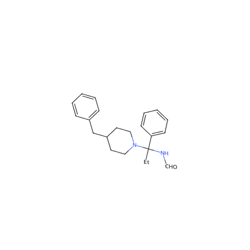 [CH2]CC(NC=O)(c1ccccc1)N1CCC(Cc2ccccc2)CC1